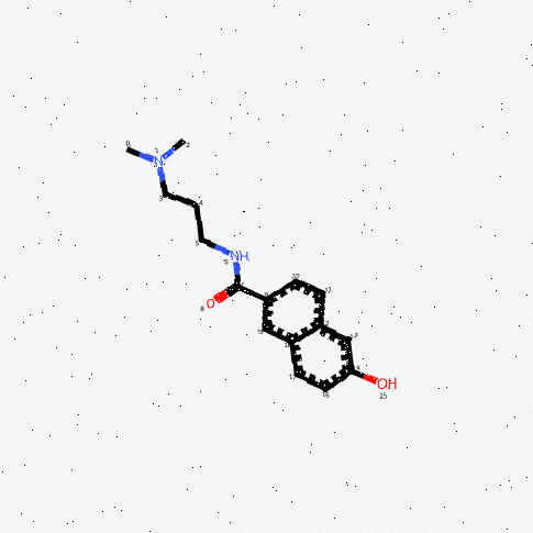 CN(C)CCCNC(=O)c1ccc2cc(O)ccc2c1